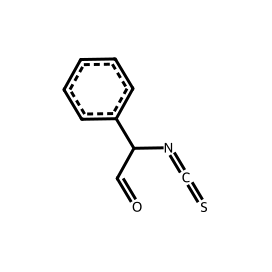 O=CC(N=C=S)c1ccccc1